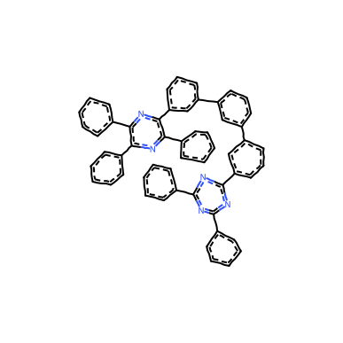 c1ccc(-c2nc(-c3ccccc3)nc(-c3cccc(-c4cccc(-c5cccc(-c6nc(-c7ccccc7)c(-c7ccccc7)nc6-c6ccccc6)c5)c4)c3)n2)cc1